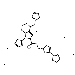 O=C(CCC1CC=C(C2=CCCC2)C1)C1C=C2C(CC3=CC=CC3)CCCC2C1C1=CC=CC1